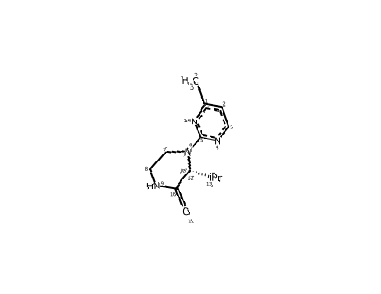 Cc1ccnc(N2CCNC(=O)[C@H]2C(C)C)n1